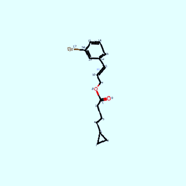 O=C(CCCC1CC1)OC/C=C/c1cccc(Br)c1